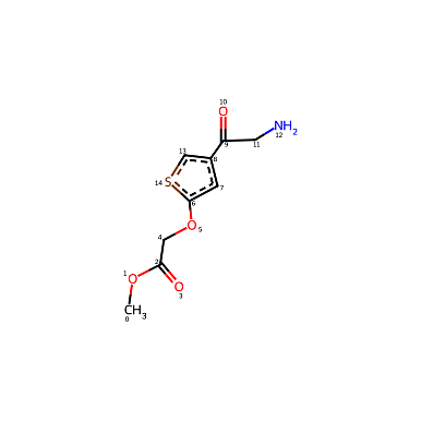 COC(=O)COc1cc(C(=O)CN)cs1